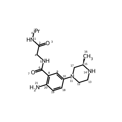 CC(C)NC(=O)CNC(=O)c1cc(N2CCN[C@H](C)C2)ccc1N